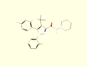 CC1(C)Oc2cc(I)ccc2-c2c1c(C(=O)NN1CCCCC1)nn2-c1ccccc1Cl.Cl